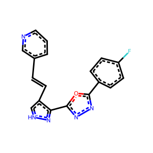 Fc1ccc(-c2nnc(-c3n[nH]cc3/C=C/c3cccnc3)o2)cc1